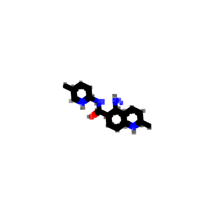 Cc1ccc(NC(=O)c2ccc3nc(C)ccc3c2N)nc1